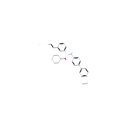 [2H]C(c1ccc(-c2ccc3c(c2)OCCO3)cc1)N(C(=O)C1CCCCC1)c1cccc(/C=C/C(=O)O)c1